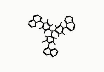 Cc1c(C)c(-c2cccc3ccccc23)c(C)c(C)c1B(c1c(C)c(C)c(-c2cccc3ccccc23)c(C)c1C)c1c(C)c(C)c(-c2cccc3ccccc23)c(C)c1C